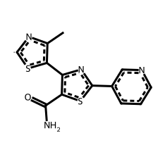 Cc1n[c]sc1-c1nc(-c2cccnc2)sc1C(N)=O